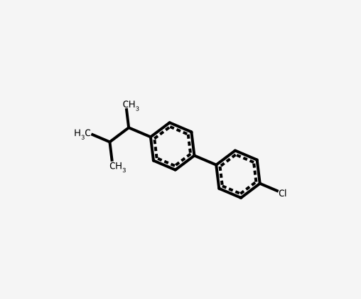 CC(C)C(C)c1ccc(-c2ccc(Cl)cc2)cc1